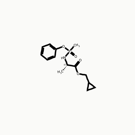 C[C@H](NP(C)(=O)Oc1ccccc1)C(=O)OCC1CC1